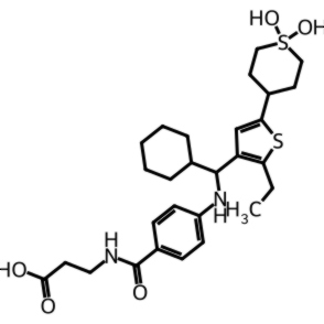 CCc1sc(C2CCS(O)(O)CC2)cc1C(Nc1ccc(C(=O)NCCC(=O)O)cc1)C1CCCCC1